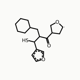 O=C(C1C[CH]OC1)C(CC1CCCCC1)C(S)c1ccoc1